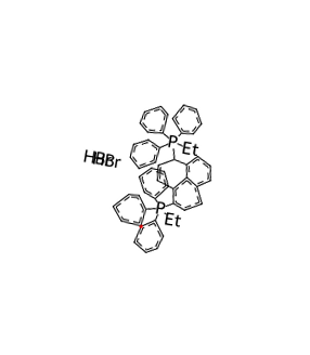 Br.Br.CCP(c1ccccc1)(c1ccccc1)(c1ccccc1)c1ccc2cccc3c2c1C=CC3P(CC)(c1ccccc1)(c1ccccc1)c1ccccc1